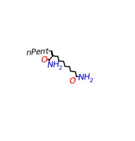 CCCCCC=C(CCCCCCCC(N)=O)C(N)=O